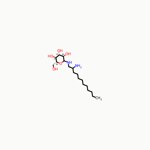 CCCCCCCCCCC(N)CNC1O[C@H](CO)[C@@H](O)[C@H](O)[C@H]1O